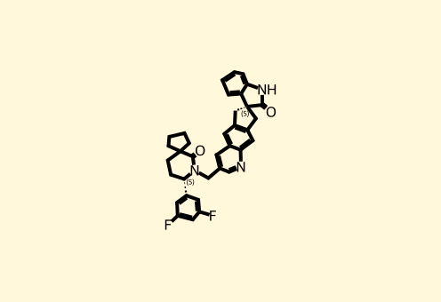 O=C1N(Cc2cnc3cc4c(cc3c2)C[C@@]2(C4)C(=O)Nc3ccccc32)[C@H](c2cc(F)cc(F)c2)CCC12CCCC2